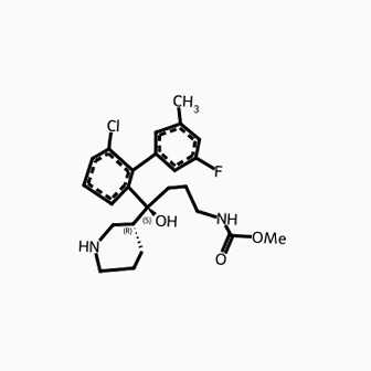 COC(=O)NCCC[C@@](O)(c1cccc(Cl)c1-c1cc(C)cc(F)c1)[C@@H]1CCCNC1